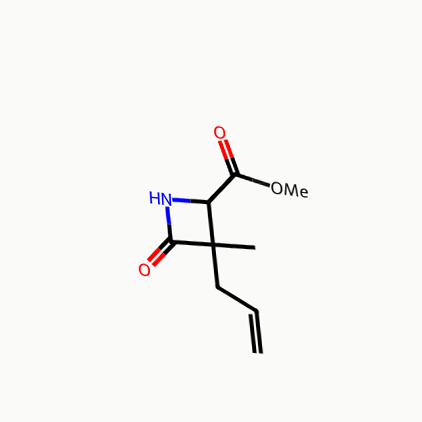 C=CCC1(C)C(=O)NC1C(=O)OC